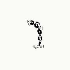 C[C@H](S)CCN1CCN(c2ccc(Nc3ccc(-c4cc[nH]c(=O)c4)n4ccnc34)cc2)CC1